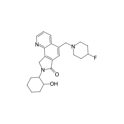 O=C1c2cc(CN3CCC(F)CC3)c3cccnc3c2CN1C1CCCCC1O